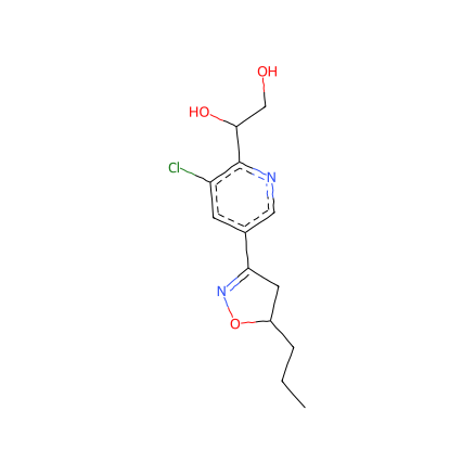 CCCC1CC(c2cnc(C(O)CO)c(Cl)c2)=NO1